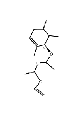 C=COC(C)OC(C)O[C@H]1C(C)=CCC(C)C1C